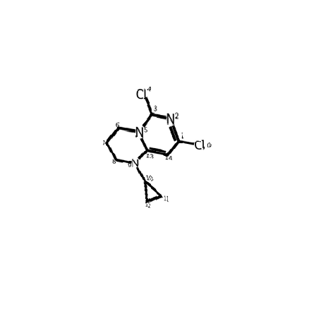 ClC1=NC(Cl)N2CCCN(C3CC3)C2=C1